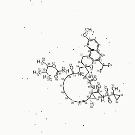 COc1ccc2nc(C(F)F)c3c(c2c1)CC[C@]1(C[C@H]2C(=O)N[C@]4(C(=O)NS(=O)(=O)C5(C)CC5)C[C@H]4/C=C\CCCCC[C@H](NC(=O)OC(C)C(C)C)C(=O)N2C1)O3